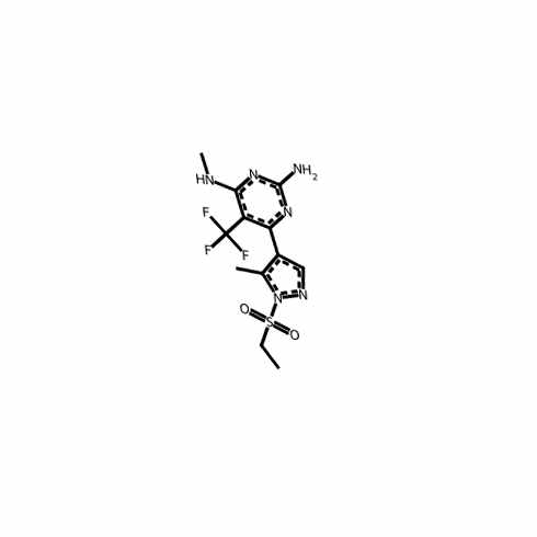 CCS(=O)(=O)n1ncc(-c2nc(N)nc(NC)c2C(F)(F)F)c1C